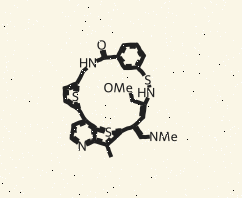 CN/C=C1\C=C(/COC)NSc2cccc(c2)C(=O)NCc2ccc(s2)-c2ccnc3c(C)c1sc23